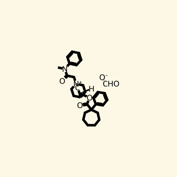 CN(C(=O)C[N+]12CCC(CC1)[C@@H](OC(=O)C1(c3ccccc3)CCCCCC1)C2)c1ccccc1.O=C[O-]